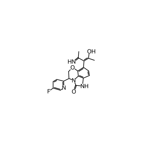 CC(=N)/C(=C(/C)O)c1ccc2[nH]c(=O)n3c2c1OCC3c1ccc(F)cn1